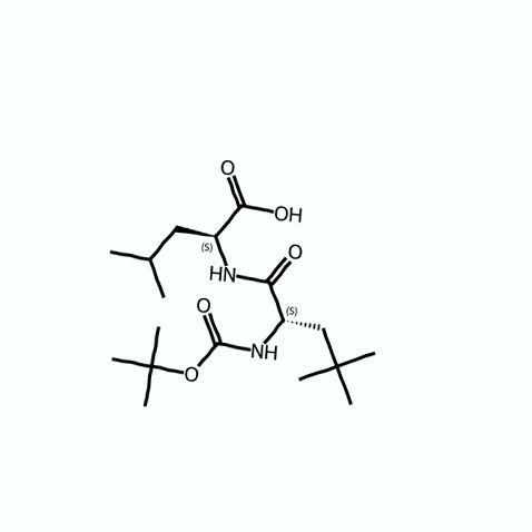 CC(C)C[C@H](NC(=O)[C@H](CC(C)(C)C)NC(=O)OC(C)(C)C)C(=O)O